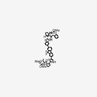 COC(=O)N[C@H](C(=O)N1CCCC1c1nc(-c2ccc3c(c2)C(F)(F)c2cc(-c4ccc5nc([C@@H]6[C@H]7CC[C@H](C7)N6C(=O)[C@H](NC(=O)OC)c6ccccc6)[nH]c5c4)ccc2-3)c[nH]1)[C@@H](C)OC